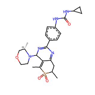 CC1=C2C(=NC(c3ccc(NC(=O)NC4CC4)cc3)=NC2N2CCOC[C@@H]2C)CC(C)S1(=O)=O